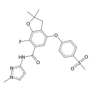 Cn1ccc(NC(=O)c2cc(Oc3ccc(S(C)(=O)=O)cc3)c3c(c2F)OC(C)(C)C3)n1